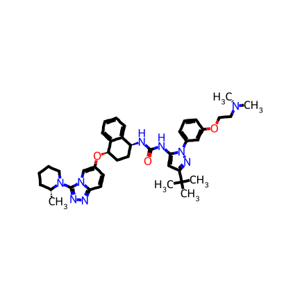 C[C@@H]1CCCCN1c1nnc2ccc(O[C@@H]3CC[C@H](NC(=O)Nc4cc(C(C)(C)C)nn4-c4cccc(OCCN(C)C)c4)c4ccccc43)cn12